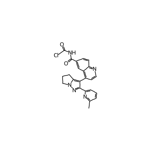 Cc1cccc(-c2nn3c(c2-c2ccnc4ccc(C(=O)NC(=O)Cl)cc24)CCC3)n1